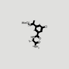 CON=C(C)c1cc(Cl)cc(C(=O)N[C@@H](C)C(N)=O)c1